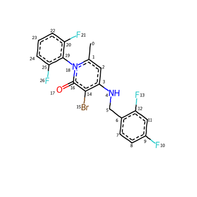 Cc1cc(NCc2ccc(F)cc2F)c(Br)c(=O)n1-c1c(F)cccc1F